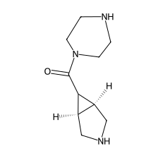 O=C(C1[C@H]2CNC[C@@H]12)N1CCNCC1